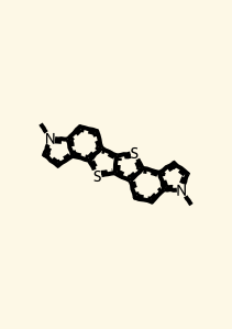 Cn1ccc2c3sc4c5ccc6c(ccn6C)c5sc4c3ccc21